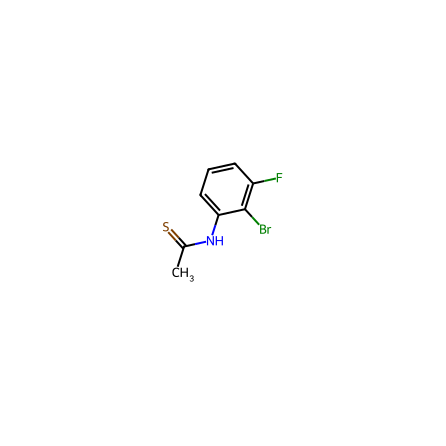 CC(=S)Nc1cccc(F)c1Br